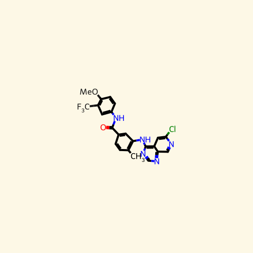 COc1ccc(NC(=O)c2ccc(C)c(Nc3ncnc4cnc(Cl)cc34)c2)cc1C(F)(F)F